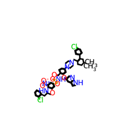 CC1(C)CCC(CN2CCN(c3ccc(C(=O)NS(=O)(=O)c4cc5c(c([N+](=O)[O-])c4)NC(Cc4ccccc4Cl)CO5)c(Oc4cnc5[nH]ccc5c4)c3)CC2)=C(c2ccc(Cl)cc2)C1